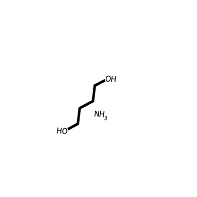 N.OCCCCO